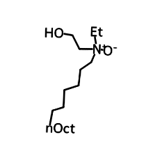 CCCCCCCCCCCCCC[N+]([O-])(CC)CCO